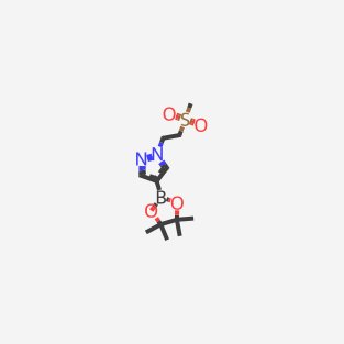 CC1(C)OB(c2cnn(CCS(C)(=O)=O)c2)OC1(C)C